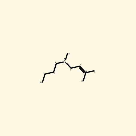 CCCCN(C)CC=C(C)C